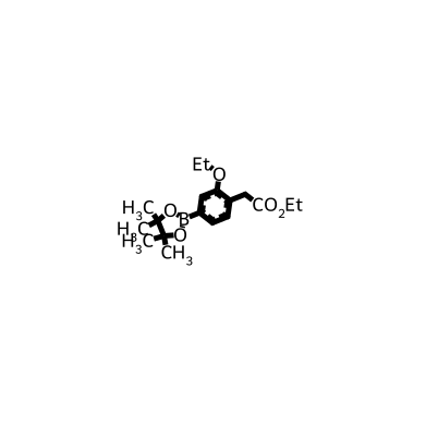 CCOC(=O)Cc1ccc(B2OC(C)(C)C(C)(C)O2)cc1OCC